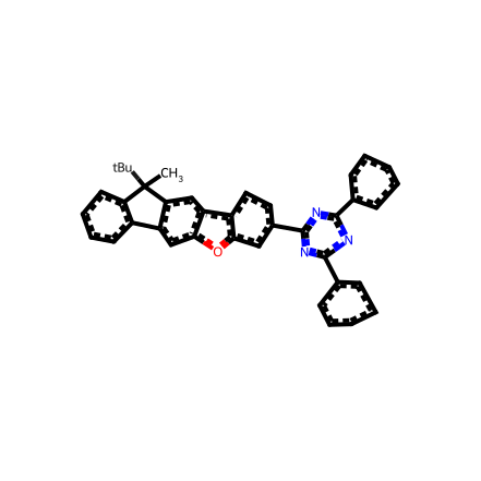 CC(C)(C)C1(C)c2ccccc2-c2cc3oc4cc(-c5nc(-c6ccccc6)nc(-c6ccccc6)n5)ccc4c3cc21